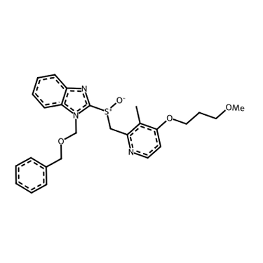 COCCCOc1ccnc(C[S+]([O-])c2nc3ccccc3n2COCc2ccccc2)c1C